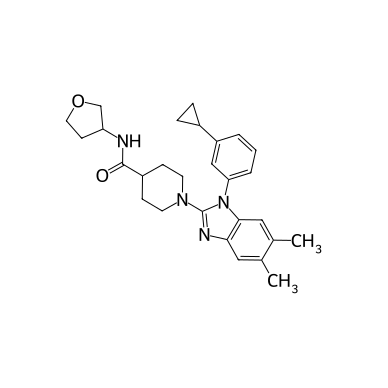 Cc1cc2nc(N3CCC(C(=O)NC4CCOC4)CC3)n(-c3cccc(C4CC4)c3)c2cc1C